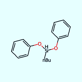 CCCC[SiH](Oc1ccccc1)Oc1ccccc1